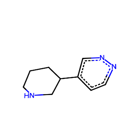 c1cc(C2CCCNC2)cnn1